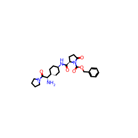 N[C@H](C(=O)N1CCCC1)[C@H]1CC[C@H](NC(=O)[C@H]2CCC(=O)N2C(=O)OCc2ccccc2)CC1